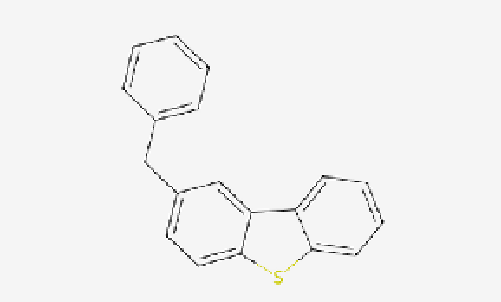 c1ccc(Cc2ccc3sc4ccccc4c3c2)cc1